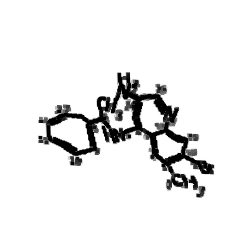 Cc1cc2c(N[C@H](C)c3ccccc3)c(N)cnc2cc1Br